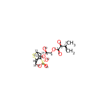 C=C(C)C(=O)C(=O)OCC(=O)OC1C2CC3C(S2)C1OS3(=O)=O